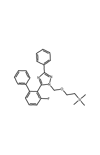 C[Si](C)(C)CCOCn1nc(-c2ccccc2)nc1-c1c(F)cccc1-c1ccccc1